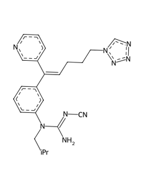 CC(C)CN(C(N)=NC#N)c1cccc(C(=CCCCn2cnnn2)c2cccnc2)c1